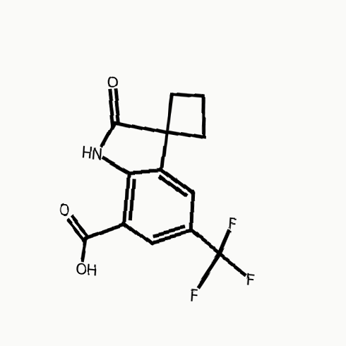 O=C(O)c1cc(C(F)(F)F)cc2c1NC(=O)C21CCC1